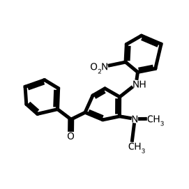 CN(C)c1cc(C(=O)c2ccccc2)ccc1Nc1ccccc1[N+](=O)[O-]